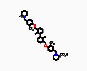 Cc1c(COc2ccc(CN3CCCC[C@H]3C)cc2C(F)(F)F)cccc1-c1cccc(COc2ccc(CN3CCCC[C@H]3C(=O)O)cc2C(F)(F)F)c1C